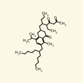 CCCCCC(CCCCC)Cc1cc(C(C)C)c2c(c1C)C(=O)CC(CC(CCC)C(CC)C(=O)CC(C)=O)C2